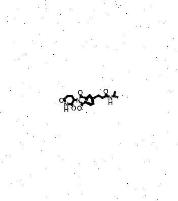 CC(C)NC(=O)CCc1ccc2c(c1)C(=O)N(C1CCC(=O)NC1=O)C2=O